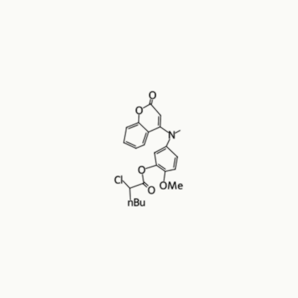 CCCCC(Cl)C(=O)Oc1cc(N(C)c2cc(=O)oc3ccccc23)ccc1OC